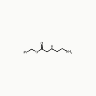 CC(C)COC(=O)CNCCN